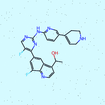 CC(O)c1ccnc2c(F)cc(-c3nc(Nc4ccc(C5=CCNCC5)cn4)ncc3F)cc12